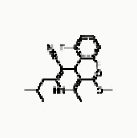 COC(=O)C1=C(C)NC(CC(C)C)=C(C#N)C1c1c(F)cccc1F